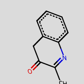 CC1=Nc2ccccc2CC1=O